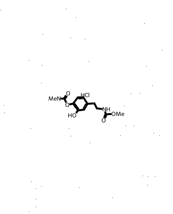 CNC(=O)Oc1ccc(CCNC(=O)OC)cc1O.Cl